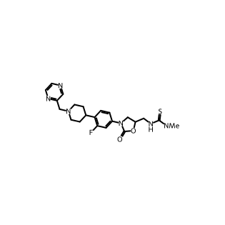 CNC(=S)NCC1CN(c2ccc(C3CCN(Cc4cnccn4)CC3)c(F)c2)C(=O)O1